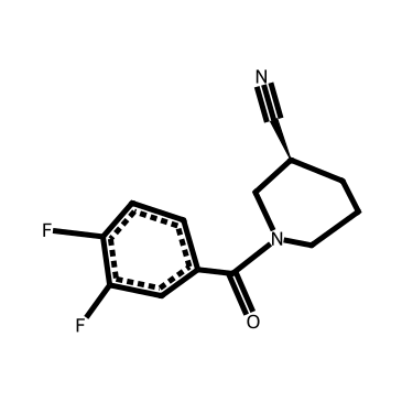 N#C[C@H]1CCCN(C(=O)c2ccc(F)c(F)c2)C1